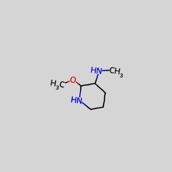 CNC1CCCNC1OC